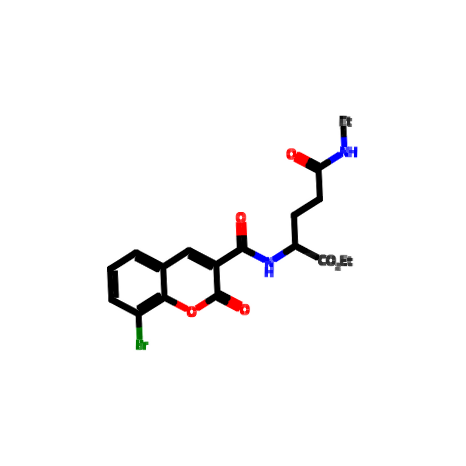 CCNC(=O)CCC(NC(=O)c1cc2cccc(Br)c2oc1=O)C(=O)OCC